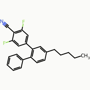 CCCCCc1ccc(-c2ccccc2)c(-c2cc(F)c(C#N)c(F)c2)c1